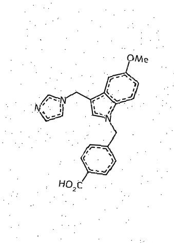 COc1ccc2c(c1)c(Cn1ccnc1)cn2Cc1ccc(C(=O)O)cc1